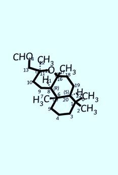 CC1(C)CCC[C@]2(C)[C@H]3CC[C@@](C)(CC=O)O[C@]3(C)CC[C@@H]12